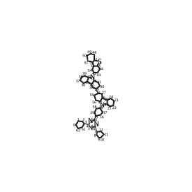 c1ccc(-c2nc(-c3ccccc3)nc(-c3ccc(-n4c5ccccc5c5cc(-c6ccc7c(c6)c6ccccc6n7-c6ccc7sc8ccccc8c7c6)ccc54)cc3)n2)cc1